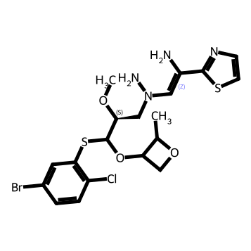 CO[C@@H](CN(N)/C=C(\N)c1nccs1)C(OC1COC1C)Sc1cc(Br)ccc1Cl